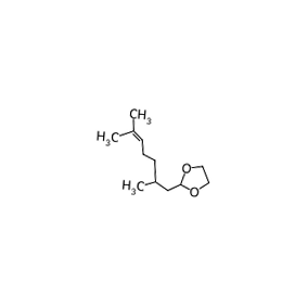 CC(C)=CCCC(C)CC1OCCO1